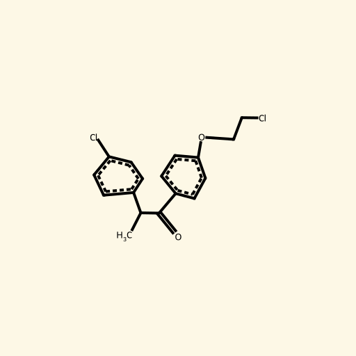 CC(C(=O)c1ccc(OCCCl)cc1)c1ccc(Cl)cc1